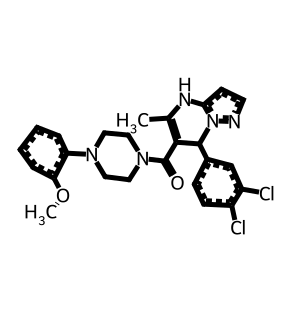 COc1ccccc1N1CCN(C(=O)C2=C(C)Nc3ccnn3C2c2ccc(Cl)c(Cl)c2)CC1